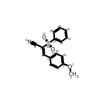 COc1ccc(C=C(C#N)S(=O)(=O)c2ccccc2)cc1